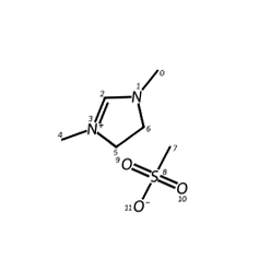 CN1C=[N+](C)CC1.CS(=O)(=O)[O-]